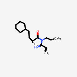 C=CC(=N)N(CCOC)C(=O)C(C)CCC1CCCCC1